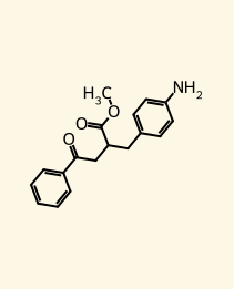 COC(=O)C(CC(=O)c1ccccc1)Cc1ccc(N)cc1